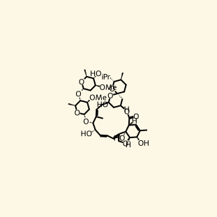 CO[C@H]1C[C@H](O[C@H]2[C@H](C)O[C@@H](O[C@@H]3/C(C)=C/C[C@]4(O)C[C@@H](C[C@]5(CC[C@H](C)[C@@H](C(C)C)O5)O4)OC(=O)[C@@H]4C=C(C)[C@@H](O)[C@H]5OC/C(=C\C=C\[C@@H]3O)[C@]54O)C[C@@H]2OC)O[C@@H](C)[C@@H]1O